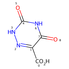 O=C(O)c1n[nH]c(=O)[nH]c1=O